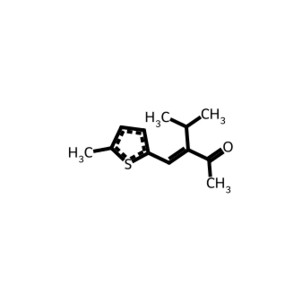 CC(=O)/C(=C/c1ccc(C)s1)C(C)C